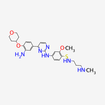 CNCCCNSc1ccc(Nc2nccc(-c3ccc(OC4CCOCC4)c(N)c3)n2)cc1OC